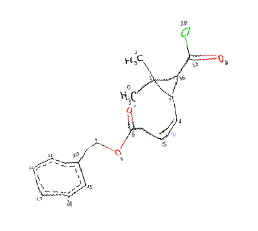 CC1(C)C(/C=C\C(=O)OCc2ccccc2)C1C(=O)Cl